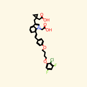 O=C(O)Cn1cc(CC2(CC(=O)O)CC2)c2cccc(/C=C/c3ccc(OCCCCOc4cc(F)cc(F)c4Cl)cc3)c21